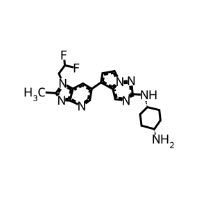 Cc1nc2ncc(-c3ccn4nc(N[C@H]5CC[C@@H](N)CC5)ncc34)cc2n1CC(F)F